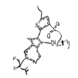 CCS(=O)(=O)c1cc(I)sc1-c1nc2cc(C(F)(F)F)ncc2n1C